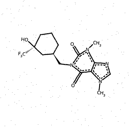 Cn1cnc2c1c(=O)n(C[C@@H]1CCC[C@@](O)(C(F)(F)F)C1)c(=O)n2C